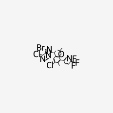 Cc1c(Cl)cc(C(C)c2nc(Br)c3c(Cl)nccn23)c(OC(C)C)c1-c1ccc(C(F)(F)F)nc1